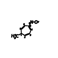 CC1C=CC=C(N=O)C=C1